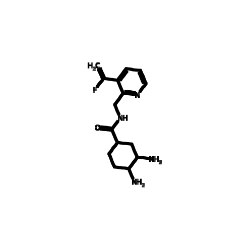 C=C(F)c1cccnc1CNC(=O)C1CCC(N)C(N)C1